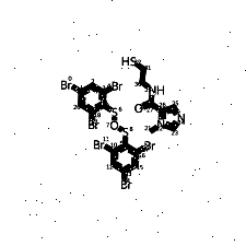 Brc1cc(Br)c(SOSc2c(Br)cc(Br)cc2Br)c(Br)c1.Cn1cncc1C(=O)NCCS